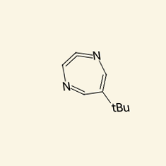 CC(C)(C)C1=CN=C=CN=C1